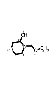 COCN1CCOCC1C